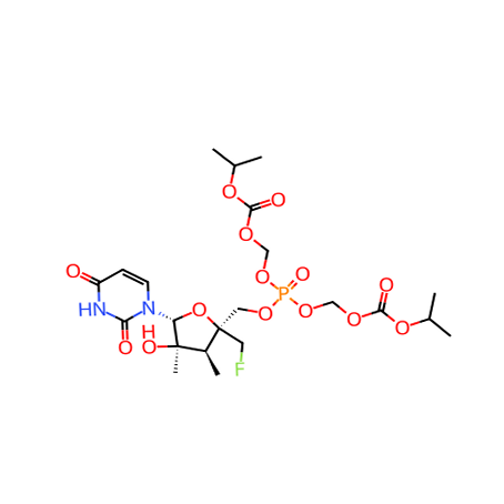 CC(C)OC(=O)OCOP(=O)(OCOC(=O)OC(C)C)OC[C@@]1(CF)O[C@@H](n2ccc(=O)[nH]c2=O)[C@](C)(O)[C@@H]1C